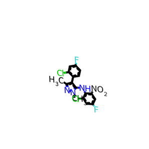 Cc1nn(C)c(Nc2c(Cl)cc(F)cc2[N+](=O)[O-])c1-c1ccc(F)cc1Cl